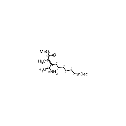 CCCCCCCCCCCCCCCCC(=C(C)C(=O)OC)C(C)N